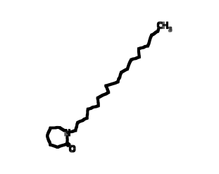 CCCCCCCCCCCCCCCCCCN1CCCCCC1=O